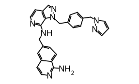 Nc1nccc2cc(CNc3nccc4cnn(Cc5ccc(Cn6cccn6)cc5)c34)ccc12